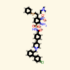 CN(C)CC[C@@H](CSc1ccccc1)c1ccc(S(=O)(=O)NC(=O)c2ccc(C3=CCN(Cc4ccccc4-c4ccc(Cl)cc4)CC3)cc2)c(N)c1[N+](=O)[O-]